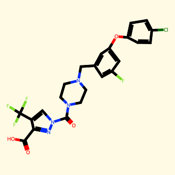 O=C(O)c1nn(C(=O)N2CCN(Cc3cc(F)cc(Oc4ccc(Cl)cc4)c3)CC2)cc1C(F)(F)F